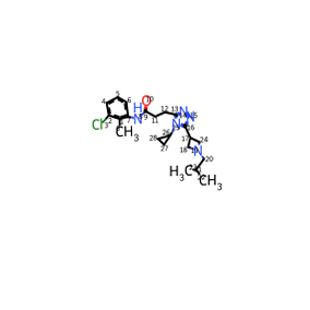 Cc1c(Cl)cccc1NC(=O)CCc1nnc(C2CN(CC(C)C)C2)n1C1CC1